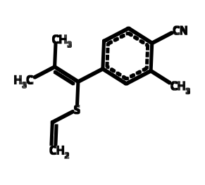 C=CSC(=C(C)C)c1ccc(C#N)c(C)c1